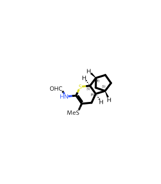 CSC1=C(NC=O)S[C@H]2[C@@H]3CC[C@@H](C3)[C@H]2C1